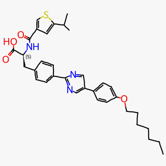 CCCCCCCOc1ccc(-c2cnc(-c3ccc(C[C@H](NC(=O)c4csc(C(C)C)c4)C(=O)O)cc3)nc2)cc1